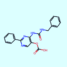 O=C(NCc1ccccc1)Nc1nc(-c2ccccc2)ncc1OC(=O)O